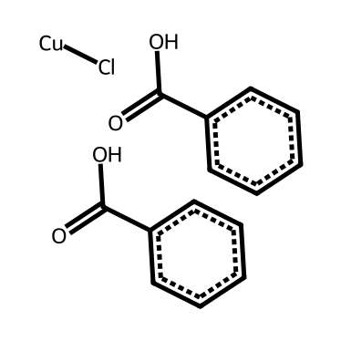 O=C(O)c1ccccc1.O=C(O)c1ccccc1.[Cl][Cu]